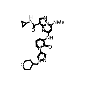 CNc1cc(Nc2cccn(-c3cnn(CC4CCOCC4)c3)c2=O)nc2c(C(=O)NC3CC3)cnn12